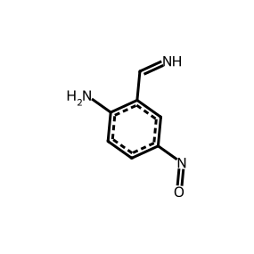 N=Cc1cc(N=O)ccc1N